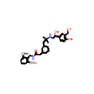 COc1cccc(OC)c1CNC(=O)Cc1cccc(CC(C)(C)NC[C@@H](O)c2ccc(O)c(CO)c2)c1